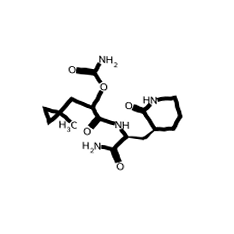 CC1(CC(OC(N)=O)C(=O)N[C@@H](C[C@@H]2CCCNC2=O)C(N)=O)CC1